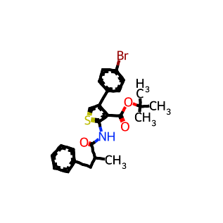 CC(Cc1ccccc1)C(=O)Nc1scc(-c2ccc(Br)cc2)c1C(=O)OC(C)(C)C